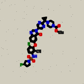 CC(C)(C)OC(=O)N1CCN(C2(c3ncc(-n4cnc5ccc(Oc6c(F)ccc(NS(=O)(=O)N7CC[C@@H](F)C7)c6C#N)cc5c4=O)cn3)CC2)CC1